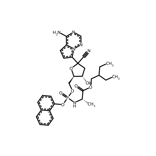 CCC(CC)COC(=O)[C@H](C)NP(=O)(OC[C@H]1OC(C#N)(c2ccc3c(N)ncnn23)C[C@@H]1O)Oc1cccc2ccccc12